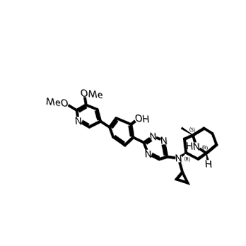 COc1cc(-c2ccc(-c3ncc(N(C4CC4)[C@@H]4C[C@H]5CCC[C@@](C)(C4)N5)nn3)c(O)c2)cnc1OC